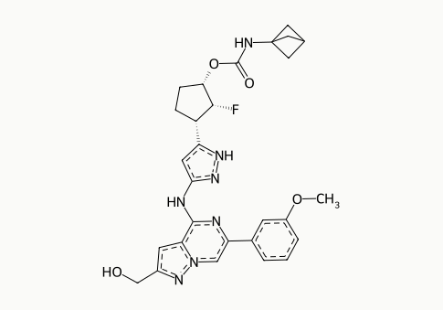 COc1cccc(-c2cn3nc(CO)cc3c(Nc3cc([C@@H]4CC[C@H](OC(=O)NC56CC(C5)C6)[C@@H]4F)[nH]n3)n2)c1